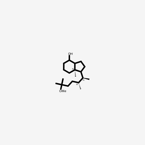 COC(C)(C)CC[C@@H](C)[C@H](C)C1CCC2C(O)CCC[C@@]21C